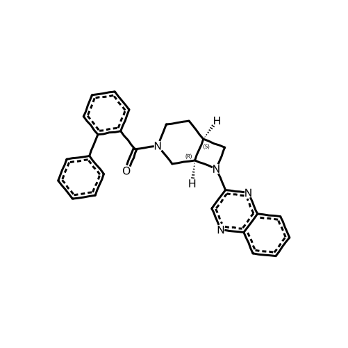 O=C(c1ccccc1-c1ccccc1)N1CC[C@H]2CN(c3cnc4ccccc4n3)[C@H]2C1